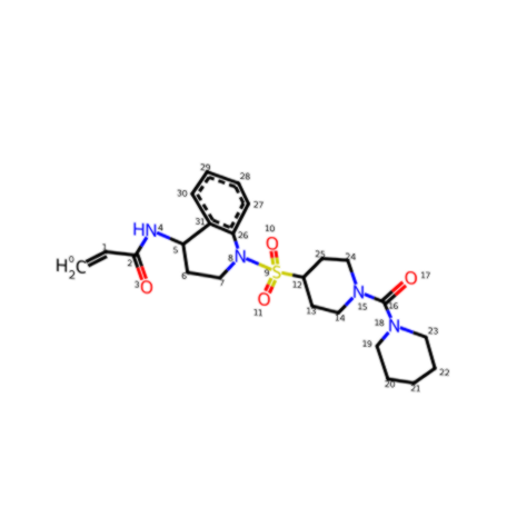 C=CC(=O)NC1CCN(S(=O)(=O)C2CCN(C(=O)N3CCCCC3)CC2)c2ccccc21